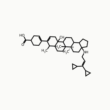 CC1C(C2=CCC(C(=O)O)CC2)=CCC2(C)C1CCC1(C)C2CCC2C3CCCC3(NCC=C(C3CC3)C3CC3)CC[C@]21C